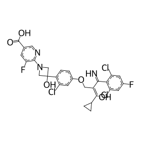 N=C(/C(COc1ccc(C2(O)CN(c3ncc(C(=O)O)cc3F)C2)c(Cl)c1)=C(\O)C1CC1)c1c(Cl)cc(F)cc1Cl